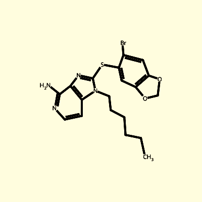 CCCCCCn1c(Sc2cc3c(cc2Br)OCO3)nc2c(N)nccc21